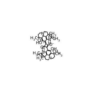 CC(=O)Nc1c(C2=C([O-])/C(=c3/c(O)c4c5c(c3NC(C)=O)C(C)(C)CC[N+]=5CCC4(C)C)C2=O)c(O)c2c3c1C(C)(C)CCN3CCC2(C)C